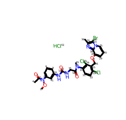 CON(C(C)=O)c1cccc(NC(=O)NCC(=O)N(C)c2ccc(Cl)c(COc3cccn4c(Br)c(C)nc34)c2Cl)c1.Cl